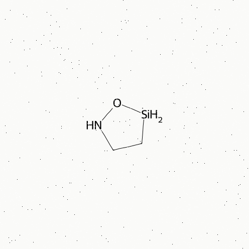 C1C[SiH2]ON1